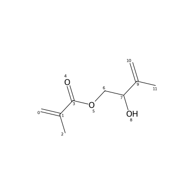 C=C(C)C(=O)OCC(O)C(=C)C